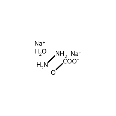 NN.O.O=C([O-])[O-].[Na+].[Na+]